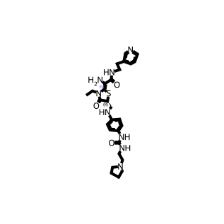 CCN1C(=O)[C@@H](CNc2ccc(NC(=O)NCCN3CCCC3)cc2)S/C1=C(/N)C(=O)NCCc1cccnc1